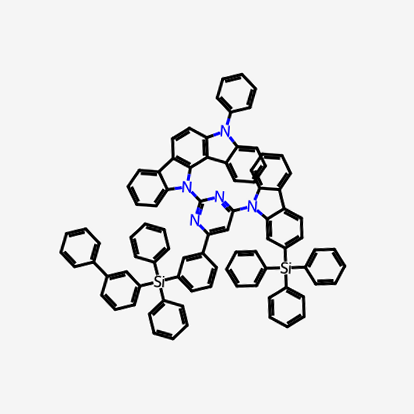 c1ccc(-c2cccc([Si](c3ccccc3)(c3ccccc3)c3cccc(-c4cc(-n5c6ccccc6c6ccc([Si](c7ccccc7)(c7ccccc7)c7ccccc7)cc65)nc(-n5c6ccccc6c6ccc7c(c8ccccc8n7-c7ccccc7)c65)n4)c3)c2)cc1